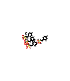 O=S(=O)([O-])C=Cc1ccccc1.O=S(=O)([O-])C=Cc1ccccc1.O=S(=O)([O-])C=Cc1ccccc1.O=S(=O)([O-])C=Cc1ccccc1.[C+4]